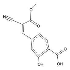 COC(=O)C(C#N)=Cc1ccc(C(=O)O)c(O)c1